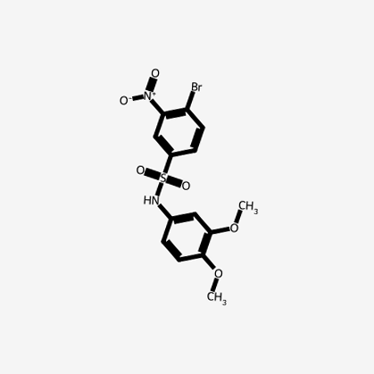 COc1ccc(NS(=O)(=O)c2ccc(Br)c([N+](=O)[O-])c2)cc1OC